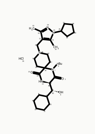 CCCCN1C(=O)[C@@H]([C@H](O)C2CCCCC2)NC(=O)C12CCN(Cc1c(C)nn(C3CCCC3)c1C)CC2.Cl